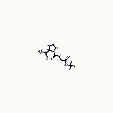 CC(C)(C)OC(=O)NCC(=O)N1CCCC1C(N)=O